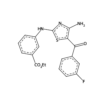 CCOC(=O)c1cccc(Nc2nc(N)c(C(=O)c3cccc(F)c3)s2)c1